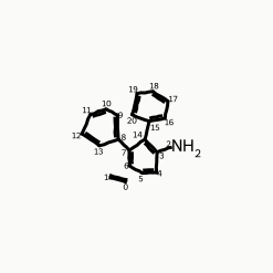 C=C.Nc1cccc(-c2ccccc2)c1-c1ccccc1